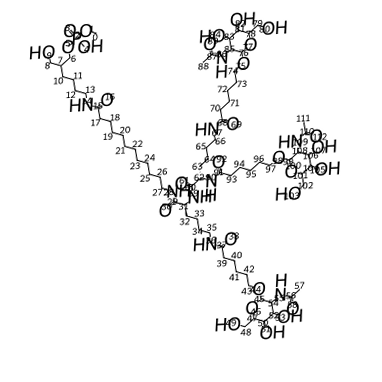 COP(=O)(O)OCC(CO)CCCCNC(=O)CCCCCCCCCCCNC(=O)[C@H](CCCCNC(=O)CCCCCOC1OC(CO)C(O)C(O)C1NC(C)=O)NC(=O)[C@H](CCCCNC(=O)CCCCCOC1OC(CO)C(O)C(O)C1NC(C)=O)NC(=O)CCCCCOC1OC(CO)C(O)C(O)C1NC(C)=O